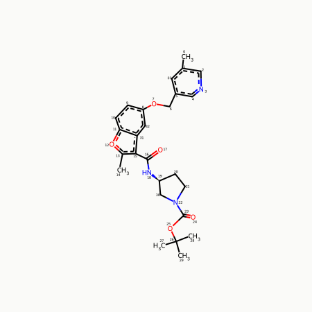 Cc1cncc(COc2ccc3oc(C)c(C(=O)N[C@H]4CCN(C(=O)OC(C)(C)C)C4)c3c2)c1